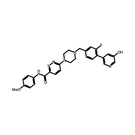 COc1ccc(NC(=O)c2ccc(N3CCN(Cc4ccc(-c5cncc(O)c5)c(F)c4)CC3)nn2)cc1